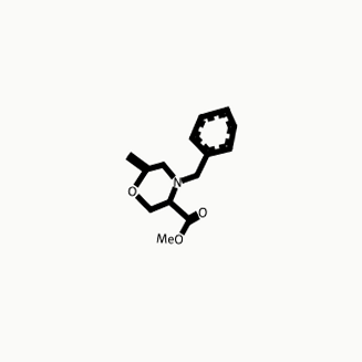 C=C1CN(Cc2ccccc2)C(C(=O)OC)CO1